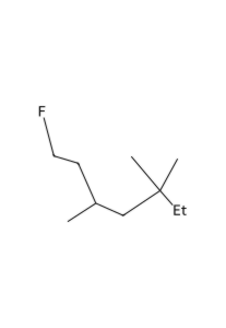 CCC(C)(C)CC(C)CCF